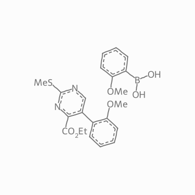 CCOC(=O)c1nc(SC)ncc1-c1ccccc1OC.COc1ccccc1B(O)O